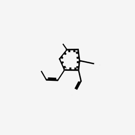 C=Cc1c(/C=C\C)cc(S)cc1C(C)(C)C